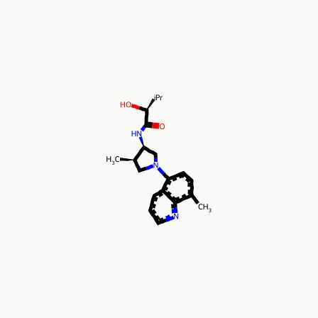 Cc1ccc(N2C[C@@H](C)[C@@H](NC(=O)[C@@H](O)C(C)C)C2)c2cccnc12